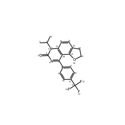 CC(C)n1c(=O)nc(-c2ccc(C(F)(F)F)cc2)c2c3c(ccc21)CCO3